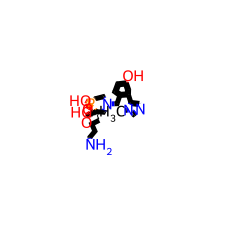 Cn1cncc1-c1cc(O)ccc1CN1CCP(=O)(O)[C@](CCCCN)(C(=O)O)C1